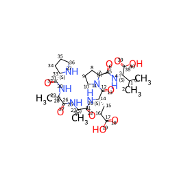 CC(C)[C@H](NC(=O)[C@@H]1CCCN1C(=O)[C@H](CCC(=O)O)NC(=O)[C@H](C)NC(=O)[C@H](C)NC(=O)[C@@H]1CCCN1)C(=O)O